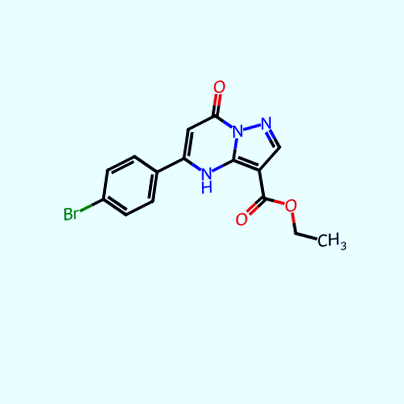 CCOC(=O)c1cnn2c(=O)cc(-c3ccc(Br)cc3)[nH]c12